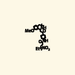 CCC(C)(CCC(=O)Nc1ccc(C(=O)C=C2NC(C)(C)Cc3ccc(OC)cc32)cc1)[N+](=O)[O-]